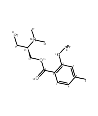 CCCOc1cc(C)ccc1C(=O)OC[C@@H](CC(C)C)N(C)C